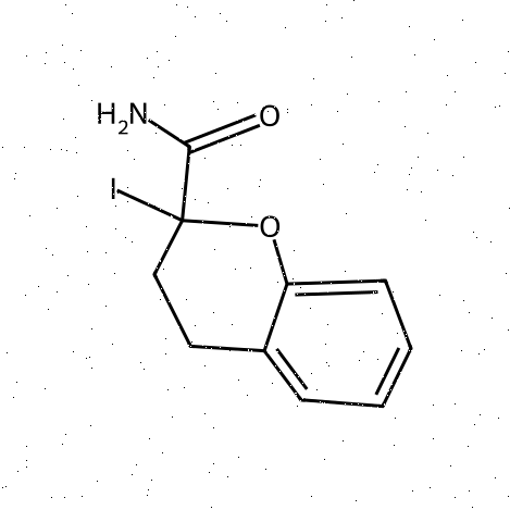 NC(=O)C1(I)CCc2ccccc2O1